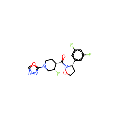 O=C([C@H]1CCN(c2nnco2)C[C@H]1F)N1OCC[C@H]1c1cc(F)cc(F)c1